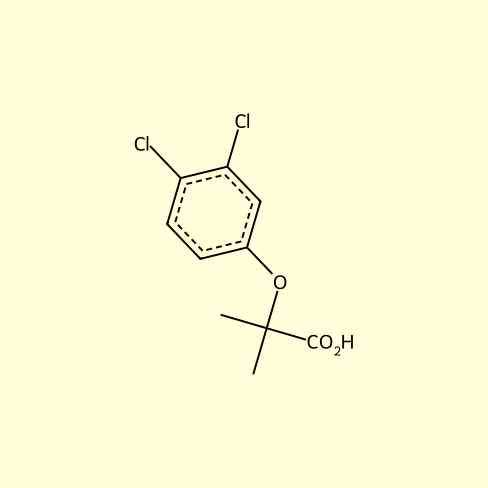 CC(C)(Oc1ccc(Cl)c(Cl)c1)C(=O)O